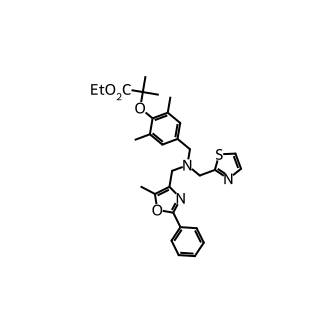 CCOC(=O)C(C)(C)Oc1c(C)cc(CN(Cc2nccs2)Cc2nc(-c3ccccc3)oc2C)cc1C